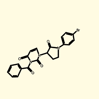 O=C1C(n2ccc(=O)n(C(=O)c3ccccc3)c2=O)CCN1c1ccc(Br)cc1